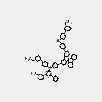 C=Cc1cccc(-c2ccc(Nc3ccc(-c4ccc5c(c4)-c4cc(-c6ccc(N(c7ccc(-c8cccc(C=C)c8)cc7)c7nc(C8=CC(C)CC=C8)nc(-c8ccccc8)n7)cc6)ccc4C54c5ccccc5-c5ccccc54)cc3)cc2)c1